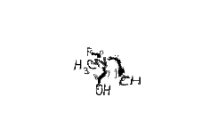 C#CC[N+](C)(CF)CCO